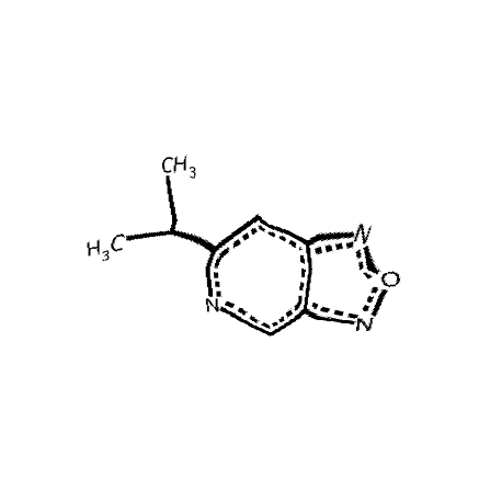 CC(C)c1cc2nonc2cn1